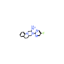 NC1CN2c3ccccc3CCC2CN1c1ncc(F)cn1